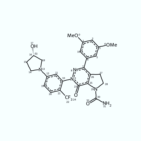 COc1cc(OC)cc(-c2nn(-c3cc(N4CC[C@H](O)C4)ccc3C(F)(F)F)c(=O)c3c2CCN3C(N)=O)c1